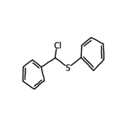 ClC(Sc1ccccc1)c1ccccc1